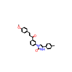 COc1ccc(C=CC(=O)c2cccc(-n3cc(-c4ccc(C)cc4)[nH]c3=O)c2)cc1